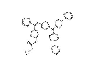 C=CC(=O)Oc1ccc(/C(=C\c2ccc(N(c3ccc(-c4ccccc4)cc3)c3ccc(-c4ccccc4)cc3)cc2)c2ccccc2)cc1